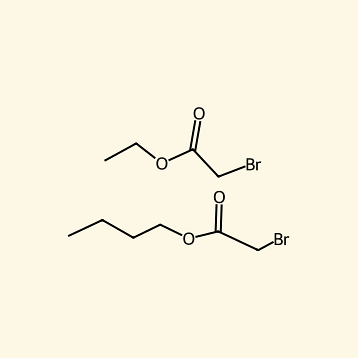 CCCCOC(=O)CBr.CCOC(=O)CBr